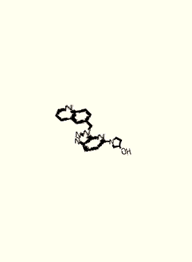 OC1CCN(c2ccc3nnn(Cc4ccc5ncccc5c4)c3n2)C1